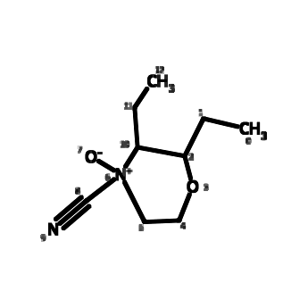 CCC1OCC[N+]([O-])(C#N)C1CC